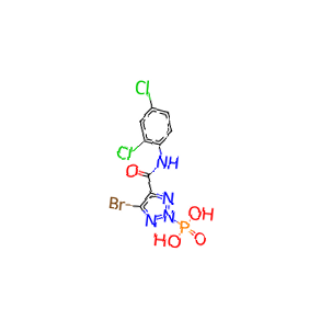 O=C(Nc1ccc(Cl)cc1Cl)c1nn(P(=O)(O)O)nc1Br